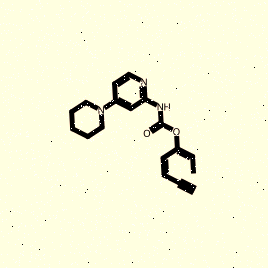 C#C/C=C\C(=C/C)OC(=O)Nc1cc(N2CCCCC2)ccn1